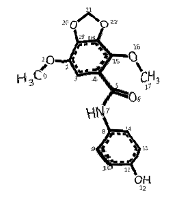 COc1cc(C(=O)Nc2ccc(O)cc2)c(OC)c2c1OCO2